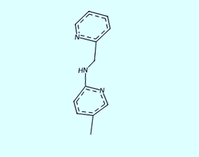 Cc1ccc(NCc2ccccn2)nc1